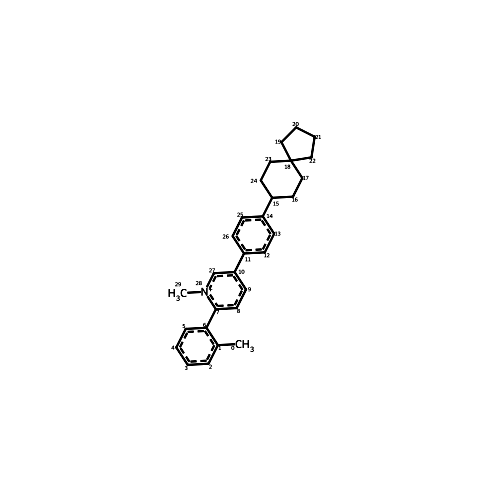 Cc1ccccc1-c1ccc(-c2ccc(C3CCC4(CCCC4)CC3)cc2)c[n+]1C